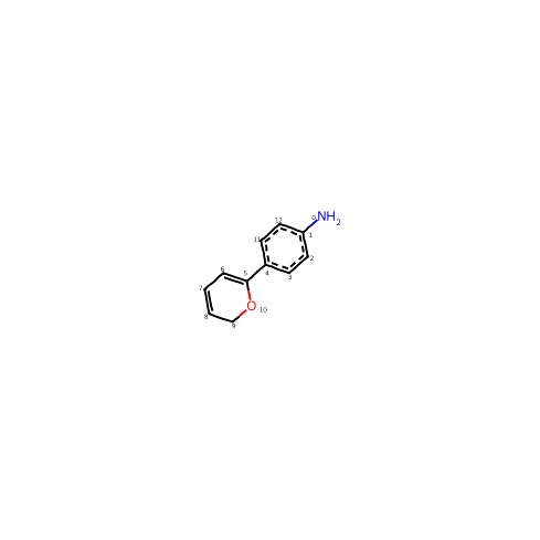 Nc1ccc(C2=CC=CCO2)cc1